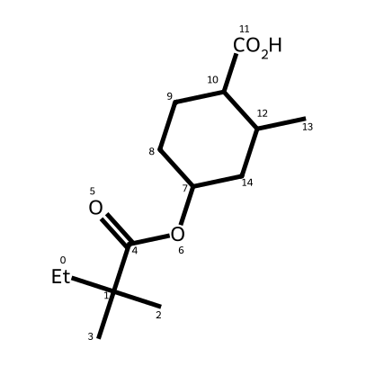 CCC(C)(C)C(=O)OC1CCC(C(=O)O)C(C)C1